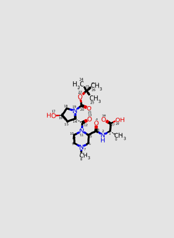 C[C@H](NC(=O)C1CN(C)CCN1C(=O)[C@@H]1C[C@@H](O)CN1C(=O)OC(C)(C)C)C(=O)O